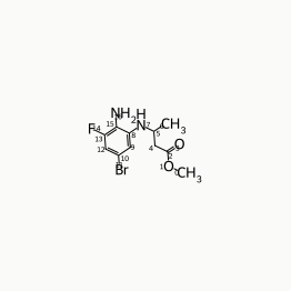 COC(=O)CC(C)Nc1cc(Br)cc(F)c1N